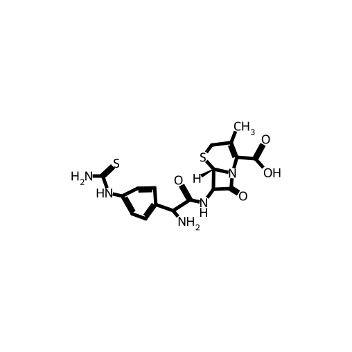 CC1=C(C(=O)O)N2C(=O)C(NC(=O)C(N)c3ccc(NC(N)=S)cc3)[C@@H]2SC1